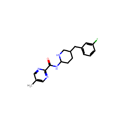 Cc1cnc(C(=O)NC2CCC(Cc3cccc(F)c3)CN2)nc1